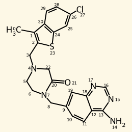 Cc1c(CN2CCN(Cc3ccc4c(N)ncnc4c3)C(=O)C2)sc2cc(Cl)ccc12